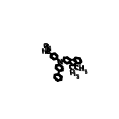 CC1(C)c2ccccc2-c2ccc(N(c3ccc(BN=O)cc3)c3ccc(-c4ccccc4)cc3)cc21